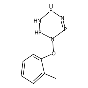 Cc1ccccc1On1pn[pH][nH][pH]1